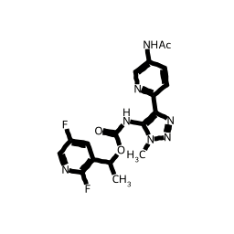 CC(=O)Nc1ccc(-c2nnn(C)c2NC(=O)OC(C)c2cc(F)cnc2F)nc1